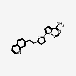 Nc1ncnn2c([C@H]3CC[C@@H](CCc4ccc5cccnc5c4)O3)ccc12